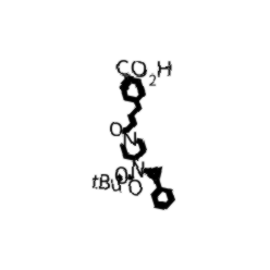 CC(C)(C)OC(=O)N(C1CCN(C(=O)CCCc2ccc(C(=O)O)cc2)CC1)C1CC1c1ccccc1